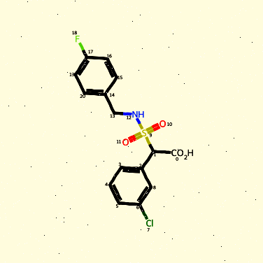 O=C(O)C(c1cccc(Cl)c1)S(=O)(=O)NCc1ccc(F)cc1